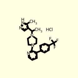 Cc1[nH]ncc1C(C)N1CCN(c2ncccc2-c2ccc(C(F)(F)F)cc2)CC1.Cl